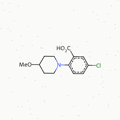 COC1CCN(c2ccc(Cl)cc2C(=O)O)CC1